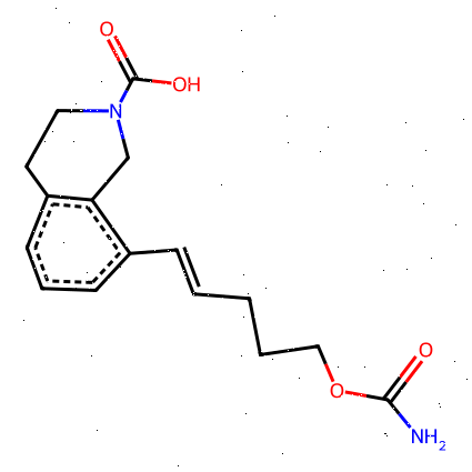 NC(=O)OCCC/C=C/c1cccc2c1CN(C(=O)O)CC2